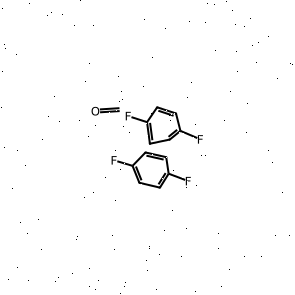 C=O.Fc1ccc(F)cc1.Fc1ccc(F)cc1